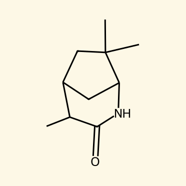 CC1C(=O)NC2CC1CC2(C)C